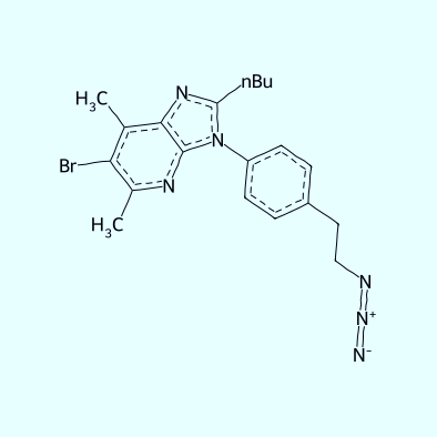 CCCCc1nc2c(C)c(Br)c(C)nc2n1-c1ccc(CCN=[N+]=[N-])cc1